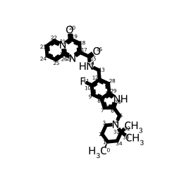 C[C@@H]1CCN(Cc2cc3cc(F)c(CNC(=O)c4cc(=O)n5ccccc5n4)cc3[nH]2)C(C)(C)C1